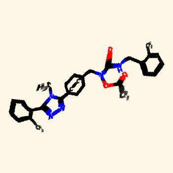 Cn1c(-c2ccccc2C(F)(F)F)nnc1C12CCC(CN(OC(=O)C(F)(F)F)C(=O)NCc3ccccc3C(F)(F)F)(CC1)CC2